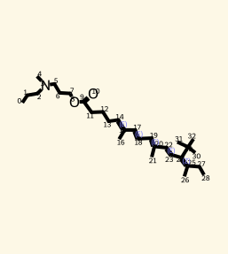 CCCN(C)CCCOC(=O)CCC/C=C(C)/C=C/C=C(C)/C=C/C(=C(\C)CC)C(C)(C)C